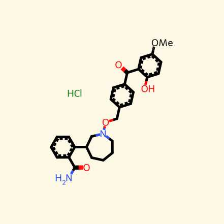 COc1ccc(O)c(C(=O)c2ccc(CON3CCCCC(c4ccccc4C(N)=O)C3)cc2)c1.Cl